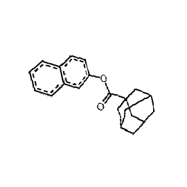 O=C(Oc1ccc2ccccc2c1)C12CC3CC(CC(C3)C1)C2